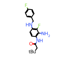 CC(C)(C)CC(=O)Nc1ccc(NCc2ccc(F)cc2)c(F)c1N